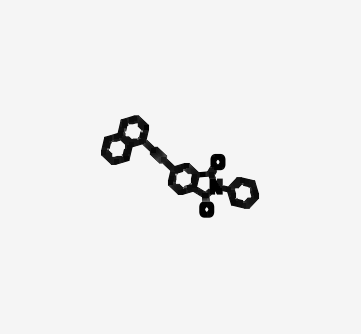 O=C1c2ccc(C#Cc3cccc4ccccc34)cc2C(=O)N1c1ccccc1